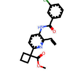 C=Cc1nc(C2(C(=O)OC)CCC2)ccc1NC(=O)c1cccc(Cl)c1